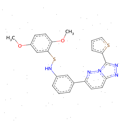 COc1ccc(OC)c(SNc2cccc(-c3ccc4nnc(-c5cccs5)n4n3)c2)c1